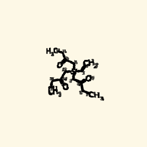 C=C[Si](CC(=O)CC)(CC(=O)CC)CC(=O)CC